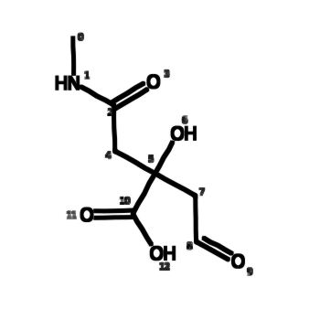 CNC(=O)CC(O)(CC=O)C(=O)O